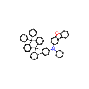 CC1(c2ccccc2-c2ccc(N(c3ccccc3)c3ccc4oc5ccccc5c4c3)cc2)c2ccccc2C(c2ccccc2)(c2ccccc2)c2ccccc21